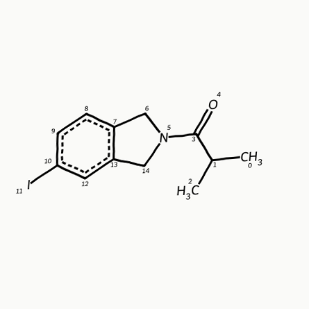 CC(C)C(=O)N1Cc2ccc(I)cc2C1